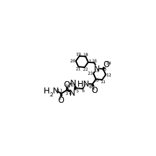 NC(=O)c1nc(CNC(=O)C2CCC(=O)N(CC3CCCCC3)C2)no1